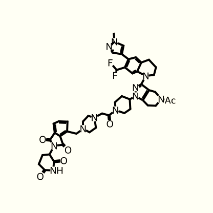 CC(=O)N1CCc2c(c(N3CCCc4cc(-c5cnn(C)c5)c(C(F)F)cc43)nn2C2CCN(C(=O)CN3CCN(Cc4cccc5c4C(=O)N(C4CCC(=O)NC4=O)C5=O)CC3)CC2)C1